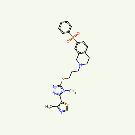 Cc1ncsc1-c1nnc(SCCCN2CCc3ccc(S(=O)(=O)c4ccccc4)cc3C2)n1C